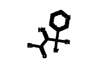 CCC(=O)C(=N)C(Br)(CC)c1cccnc1